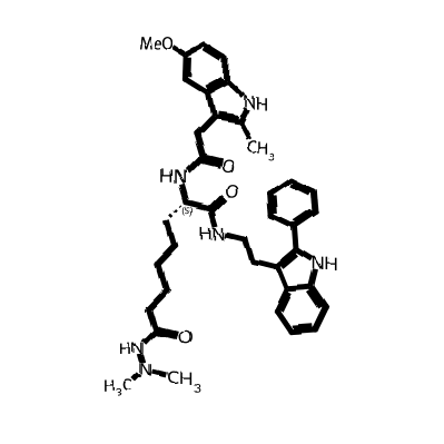 COc1ccc2[nH]c(C)c(CC(=O)N[C@@H](CCCCCC(=O)NN(C)C)C(=O)NCCc3c(-c4ccccc4)[nH]c4ccccc34)c2c1